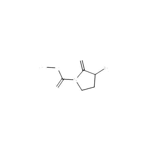 CC(C)(C)OC(=O)N1CCC(Br)C1=O